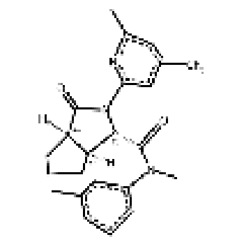 Cc1cccc(N(C)C(=O)[C@@H]2[C@H]3CCC[C@H]3C(=O)N2c2cc(C(F)(F)F)cc(C)n2)c1